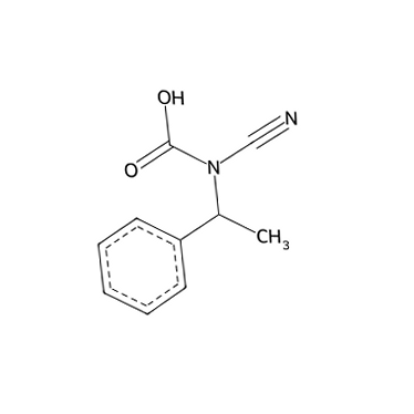 CC(c1ccccc1)N(C#N)C(=O)O